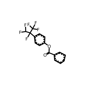 O=C(Oc1ccc(C(F)(C(F)F)C(F)(F)F)cc1)c1ccccc1